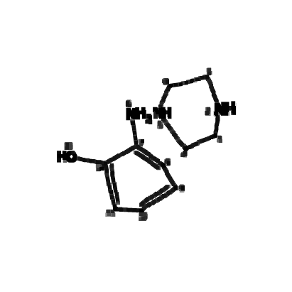 C1CNCCN1.Nc1ccccc1O